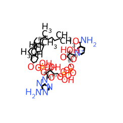 CC(C)CCC[C@@H](C)[C@H]1CC[C@H]2[C@@H]3CCC4=CC(=O)CC[C@]4(C)[C@H]3CC[C@]12C.NC(=O)c1ccc[n+]([C@@H]2O[C@H](COP(=O)([O-])OP(=O)(O)OC[C@H]3O[C@@H](n4cnc5c(N)ncnc54)[C@H](OP(=O)(O)O)[C@@H]3O)[C@@H](O)[C@H]2O)c1